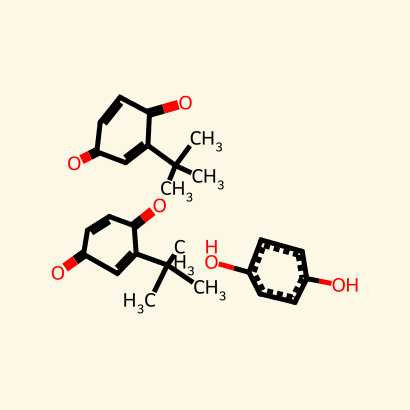 CC(C)(C)C1=CC(=O)C=CC1=O.CC(C)(C)C1=CC(=O)C=CC1=O.Oc1ccc(O)cc1